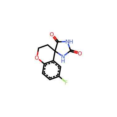 O=C1NC(=O)C2(CCOc3ccc(F)cc32)N1